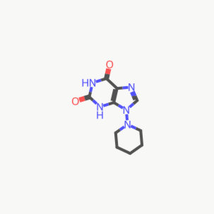 O=c1[nH]c(=O)c2ncn(N3CCCCC3)c2[nH]1